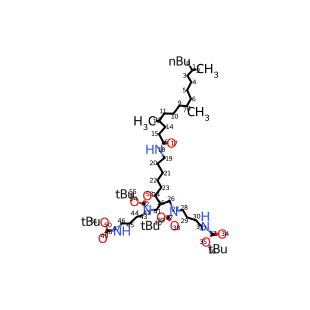 CCCCC(C)CCCCC(C)CCCC(C)CCC(=O)NCCCCCCC(CN(CCCCNC(=O)OC(C)(C)C)C(=O)OC(C)(C)C)CN(CCCCNC(=O)OC(C)(C)C)C(=O)OC(C)(C)C